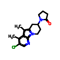 Cc1c(Cl)cnc2c1c(C)c1n2CCC(N2CCCC2=O)C1